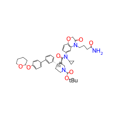 CC(C)(C)OC(=O)N1CC[C@H](c2cccc(-c3ccc(OC4CCCCO4)cc3)c2)[C@@H](C(=O)N(c2ccc3c(c2)N(CCCC(N)=O)C(=O)CO3)C2CC2)C1